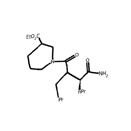 CCC[C@H](C(N)=O)C(CC(C)C)C(=O)N1CCCC(C(=O)OCC)C1